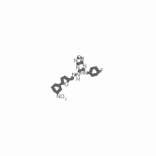 O=[N+]([O-])c1cccc(-c2ccc(C=NNc3nc4nonc4nc3Nc3ccc(F)cc3)o2)c1